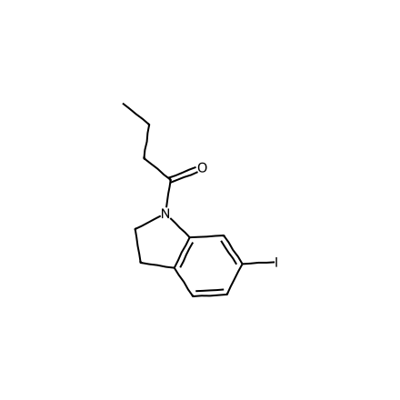 CCCC(=O)N1CCc2ccc(I)cc21